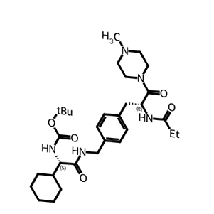 CCC(=O)N[C@H](Cc1ccc(CNC(=O)[C@@H](NC(=O)OC(C)(C)C)C2CCCCC2)cc1)C(=O)N1CCN(C)CC1